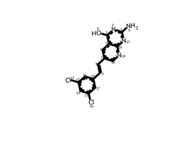 Nc1nc(O)c2cc(/C=C/c3cc(Cl)cc(Cl)c3)cnc2n1